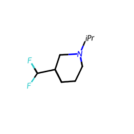 CC(C)N1CCCC(C(F)F)C1